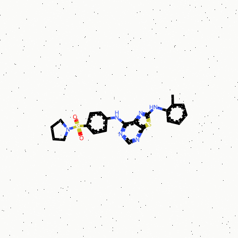 Cc1ccccc1Nc1nc2c(Nc3ccc(S(=O)(=O)N4CCCC4)cc3)ncnc2s1